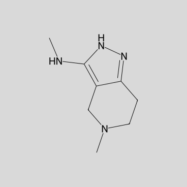 CNc1[nH]nc2c1CN(C)CC2